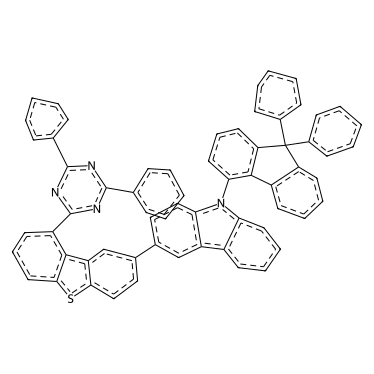 c1ccc(-c2nc(-c3ccccc3)nc(-c3cccc4sc5ccc(-c6ccc7c(c6)c6ccccc6n7-c6cccc7c6-c6ccccc6C7(c6ccccc6)c6ccccc6)cc5c34)n2)cc1